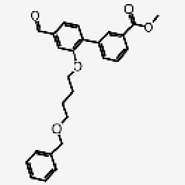 COC(=O)c1cccc(-c2ccc(C=O)cc2OCCCCOCc2ccccc2)c1